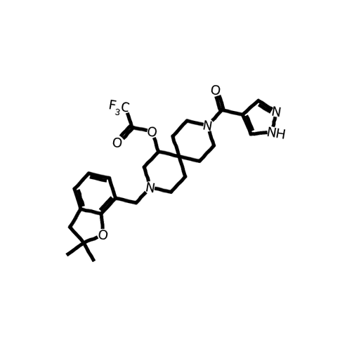 CC1(C)Cc2cccc(CN3CCC4(CCN(C(=O)c5cn[nH]c5)CC4)C(OC(=O)C(F)(F)F)C3)c2O1